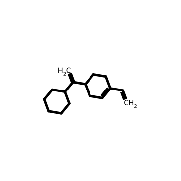 C=CC1=CCC(C(=C)C2CCCCC2)CC1